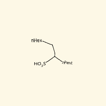 CCCCCCCC(CCCCC)S(=O)(=O)O